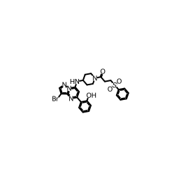 O=C(CCS(=O)(=O)c1ccccc1)N1CCC(Nc2cc(-c3ccccc3O)nc3c(Br)cnn23)CC1